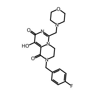 O=C1c2c(O)c(=O)nc(CN3CCOCC3)n2CCN1Cc1ccc(F)cc1